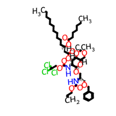 C=CCOC(=O)N[C@@H](COCc1ccccc1)CO[C@@H]1O[C@@H]2COC(C)(C)O[C@H]2[C@H](OC(=O)C[C@@H](CCCCCCCCCCC)OC(=O)CCCCCC)[C@H]1NC(=O)OCC(Cl)(Cl)Cl